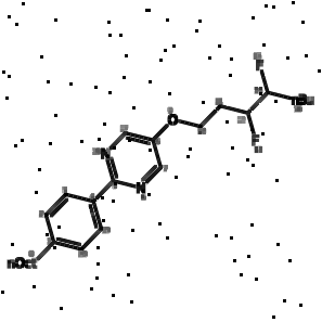 CCCCCCCCc1ccc(-c2ncc(OCCC(F)C(F)CCCC)cn2)cc1